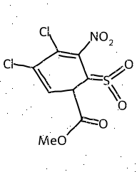 COC(=O)C1C=C(Cl)C(Cl)=C([N+](=O)[O-])C1=S(=O)=O